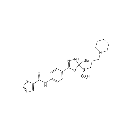 CC(C)(C)C1(N(CCCN2CCCCC2)C(=O)O)NN=C(c2ccc(NC(=O)c3cccs3)cc2)O1